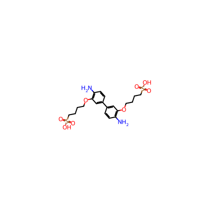 Nc1ccc(-c2ccc(N)c(OCCCCS(=O)(=O)O)c2)cc1OCCCCS(=O)(=O)O